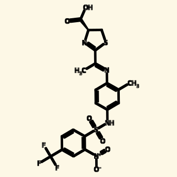 C/C(=N\c1ccc(NS(=O)(=O)c2ccc(C(F)(F)F)cc2[N+](=O)[O-])cc1C)C1=N[C@@H](C(=O)O)CS1